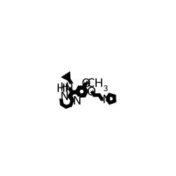 COc1cc2c(NCC3CC3)c3c(nc2cc1OCCCN1CCCC1)CCCCN3